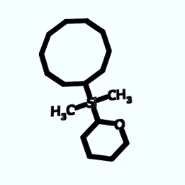 C[Si](C)(C1CCCCCCCCC1)C1CCCCO1